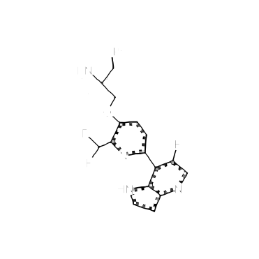 CC(C)C[C@](C)(N)COc1ccc(-c2c(F)cnc3cc[nH]c23)nc1C(F)F